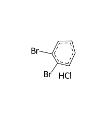 Brc1ccccc1Br.Cl